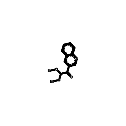 CCOC(OCC)C(=O)c1cnc2ccccc2c1